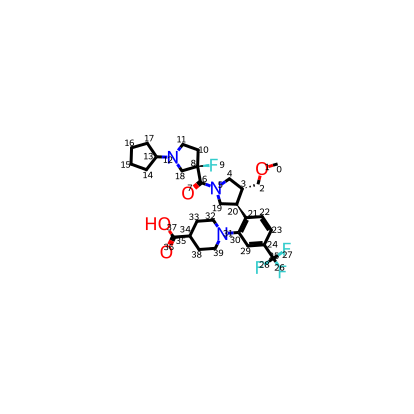 COC[C@H]1CN(C(=O)[C@@]2(F)CCN(C3CCCC3)C2)C[C@@H]1c1ccc(C(F)(F)F)cc1N1CCC(C(=O)O)CC1